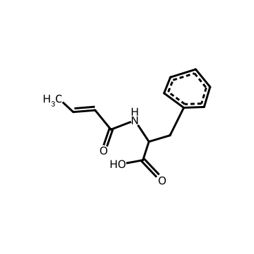 C/C=C/C(=O)NC(Cc1ccccc1)C(=O)O